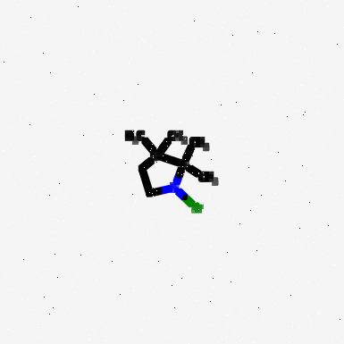 C[Si]1(C)CCN(Br)[Si]1(C)C